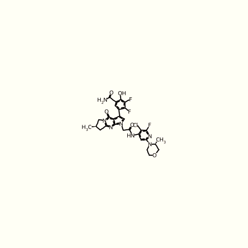 C[C@@H]1Cc2nc3c(c(-c4cc(C(N)=O)c(O)c(F)c4F)cn3CC(=O)Nc3cc(N4CCOC[C@@H]4C)nc(F)c3Cl)c(=O)n2C1